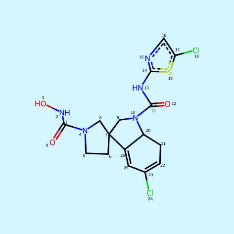 O=C(NO)N1CCC2(C1)CN(C(=O)Nc1ncc(Cl)s1)C1CC=C(Cl)C=C12